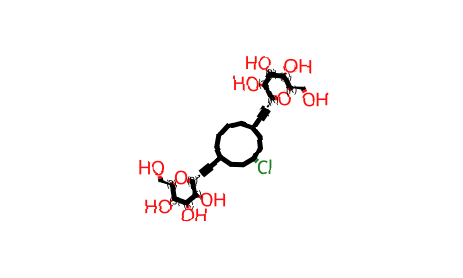 OC[C@H]1O[C@H](C#CC2CCCCC(C#C[C@H]3O[C@H](CO)[C@@H](O)[C@H](O)[C@@H]3O)CCC(Cl)CC2)[C@@H](O)[C@@H](O)[C@@H]1O